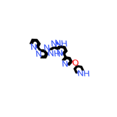 c1ccc(-c2nccc3[nH]c(-c4n[nH]c5ccc(-c6cncc(OC7CCNCC7)c6)nc45)nc23)nc1